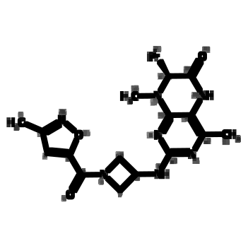 Cc1cc(C(=O)N2CC(Nc3nc(C)c4c(n3)N(C)[C@@H](C(C)C)C(=O)N4)C2)on1